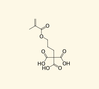 C=C(C)C(=O)OCCCC(C(=O)O)(C(=O)O)C(=O)O